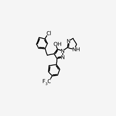 Oc1c(Cc2cccc(Cl)c2)c(-c2ccc(C(F)(F)F)cc2)nn1C1=NCCN1